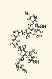 N#Cc1cncc(COc2cc(OCc3cccc(-c4cccc(COc5cc(OCc6cncc(C#N)c6)c(CN6CCCC[C@H]6C(=O)O)cc5Cl)c4)c3)c(Cl)cc2CN2CCCC[C@H]2C(=O)O)c1